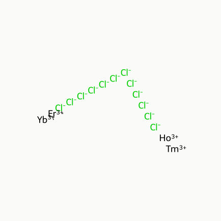 [Cl-].[Cl-].[Cl-].[Cl-].[Cl-].[Cl-].[Cl-].[Cl-].[Cl-].[Cl-].[Cl-].[Cl-].[Er+3].[Ho+3].[Tm+3].[Yb+3]